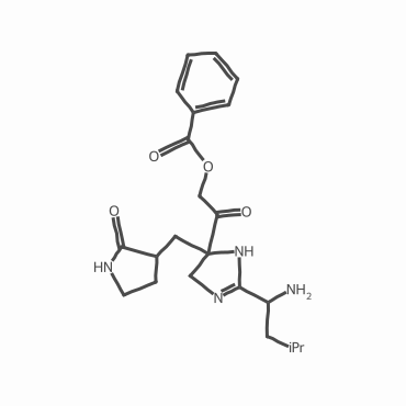 CC(C)CC(N)C1=NCC(CC2CCNC2=O)(C(=O)COC(=O)c2ccccc2)N1